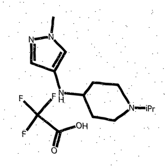 CC(C)N1CCC(Nc2cnn(C)c2)CC1.O=C(O)C(F)(F)F